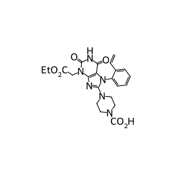 C=Cc1ccccc1-n1c(N2CCN(C(=O)O)CC2)nc2c1c(=O)[nH]c(=O)n2CC(=O)OCC